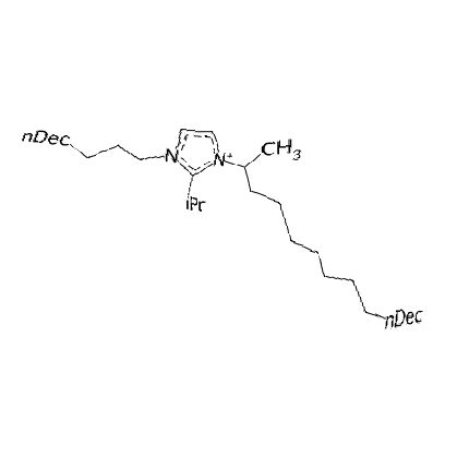 CCCCCCCCCCCCCCCCCC(C)[n+]1ccn(CCCCCCCCCCCCC)c1C(C)C